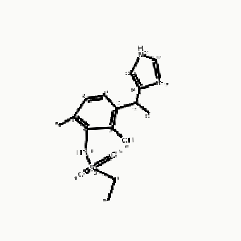 CCS(=O)(=O)Nc1c(C)ccc(C(C)c2c[nH]cn2)c1O